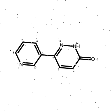 O=c1ccc(-c2cccnc2)n[nH]1